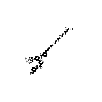 CCN(CC)c1ccc(NC(=O)c2cccc(CCCOCCOCCOCCOCCOCCC(=O)O)c2)c(-c2cc(C(=O)NCc3cccc(CF)c3)ccn2)c1